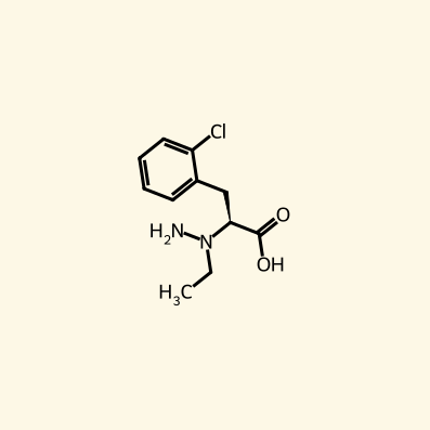 CCN(N)[C@@H](Cc1ccccc1Cl)C(=O)O